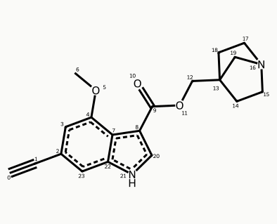 C#Cc1cc(OC)c2c(C(=O)OCC34CCN(CC3)C4)c[nH]c2c1